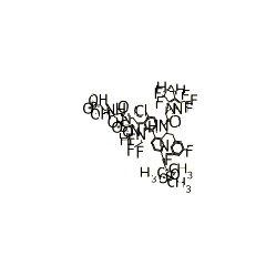 CC(C)(C#Cc1ccc(-c2ccc(Cl)c3c(CN(C(=O)C(=O)NCCP(=O)(O)O)[SH](=O)=O)nn(CC(F)(F)F)c23)c(C(Cc2cc(F)cc(F)c2)NC(=O)Cn2nc(C(F)(F)F)c3c2C(F)(F)[C@@H]2C[C@H]32)n1)S(C)(=O)=O